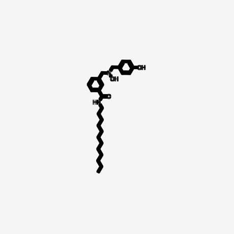 CCCCCCCCCCCCNC(=O)c1cccc(CN(O)Cc2ccc(O)cc2)c1